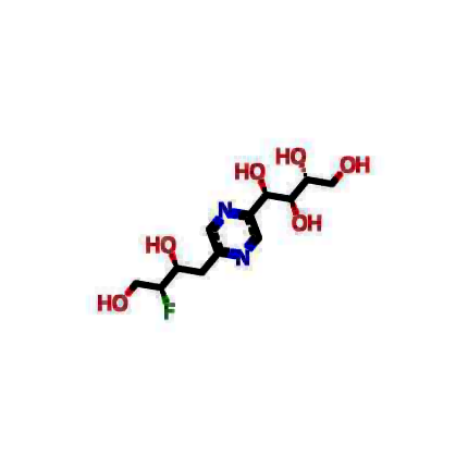 OC[C@@H](O)[C@@H](O)[C@H](O)c1cnc(C[C@H](O)[C@@H](F)CO)cn1